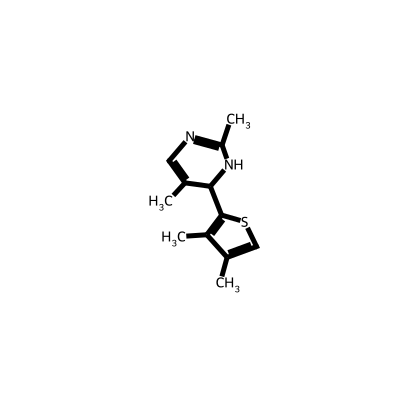 CC1=CN=C(C)NC1c1scc(C)c1C